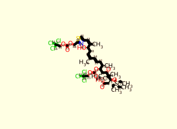 CC[Si](CC)(CC)O[C@@H](CC(=O)O)C(C)(C)C(=O)[C@H](C)[C@@H](OC(=O)OCC(Cl)(Cl)Cl)[C@@H](C)CC=CC(C)=CC[C@H](O)C(C)=Cc1csc(COC(=O)OCC(Cl)(Cl)Cl)n1